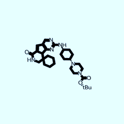 CC(C)(C)OC(=O)N1CCN([C@H]2CC[C@H](Nc3ncc4c(n3)C3C(=C4)C(=O)NCC34CCCCC4)CC2)CC1